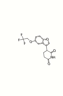 O=C1CCC(c2coc3ccc(OCC(F)(F)F)cc23)C(=O)N1